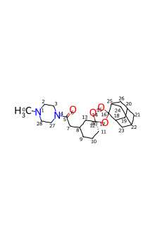 CN1CCN(C(=O)CC2CCC[C@]3(C2)OOC2(O3)C3CC4CC(C3)CC2C4)CC1